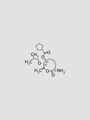 CC(C)CO[C@H]1[C@H](C)OC(=O)[C@@H](N)CCC[C@@H]1OC(=O)C1CCCC1